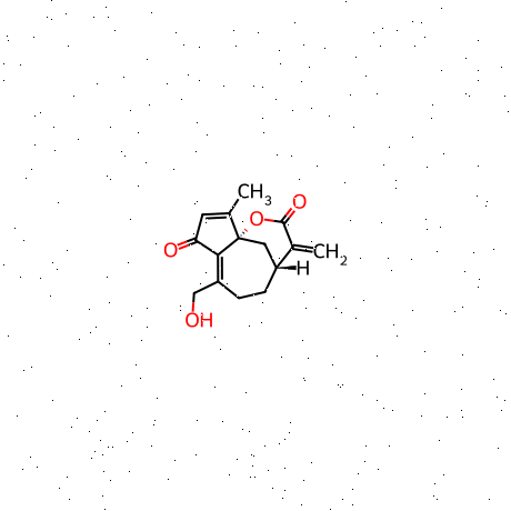 C=C1C(=O)O[C@]23C[C@H]1CCC(CO)=C2C(=O)C=C3C